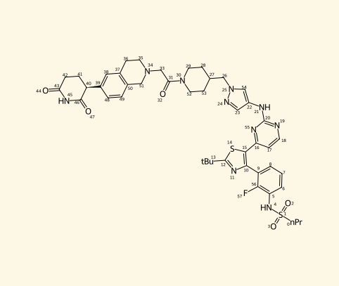 CCCS(=O)(=O)Nc1cccc(-c2nc(C(C)(C)C)sc2-c2ccnc(Nc3cnn(CC4CCN(C(=O)CN5CCc6cc([C@@H]7CCC(=O)NC7=O)ccc6C5)CC4)c3)n2)c1F